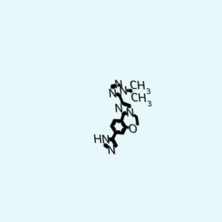 CC(C)n1ncnc1-c1cn2c(n1)-c1ccc(-c3cnc[nH]3)cc1OCC2